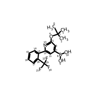 CC(C)(C)Oc1cc(B(O)O)cc(-c2ccccc2C(F)(F)F)n1